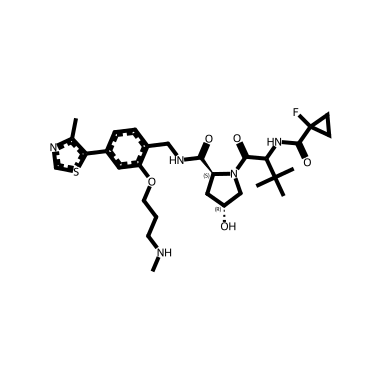 CNCCCOc1cc(-c2scnc2C)ccc1CNC(=O)[C@@H]1C[C@@H](O)CN1C(=O)C(NC(=O)C1(F)CC1)C(C)(C)C